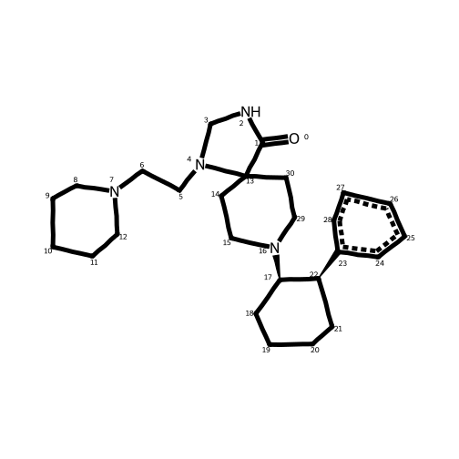 O=C1NCN(CCN2CCCCC2)C12CCN([C@@H]1CCCC[C@@H]1c1ccccc1)CC2